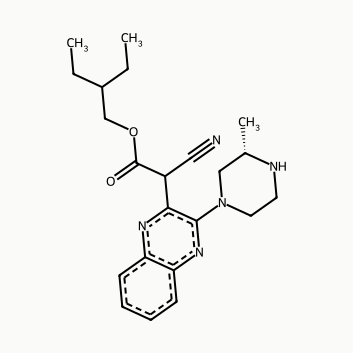 CCC(CC)COC(=O)C(C#N)c1nc2ccccc2nc1N1CCN[C@@H](C)C1